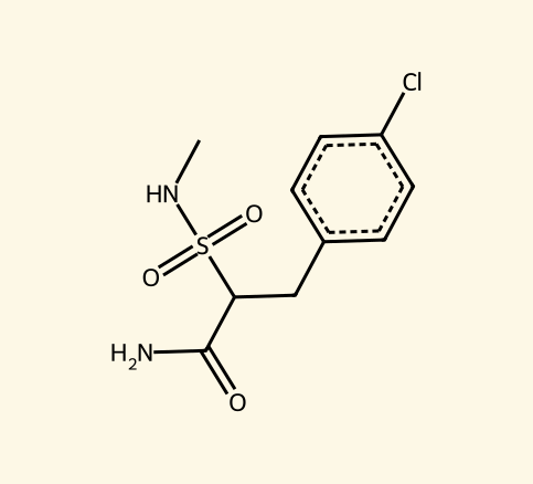 CNS(=O)(=O)C(Cc1ccc(Cl)cc1)C(N)=O